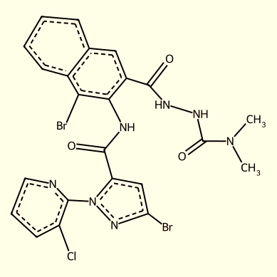 CN(C)C(=O)NNC(=O)c1cc2ccccc2c(Br)c1NC(=O)c1cc(Br)nn1-c1ncccc1Cl